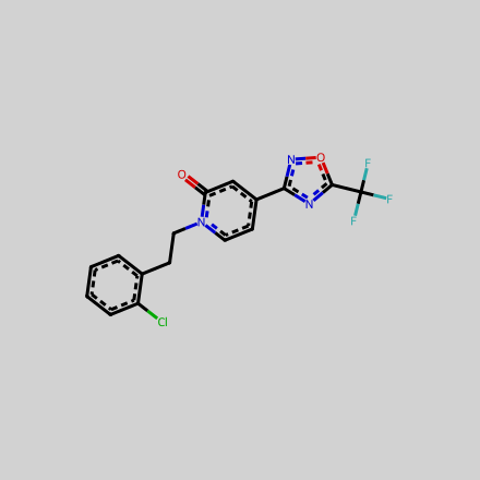 O=c1cc(-c2noc(C(F)(F)F)n2)ccn1CCc1ccccc1Cl